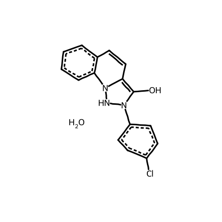 O.OC1=C2C=Cc3ccccc3N2NN1c1ccc(Cl)cc1